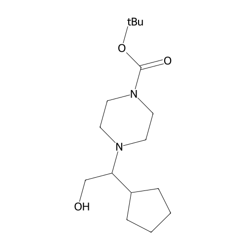 CC(C)(C)OC(=O)N1CCN(C(CO)C2CCCC2)CC1